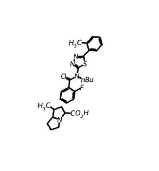 CC1CC(C(=O)O)N2CCCC12.CCCCN(C(=O)c1ccccc1F)c1nnc(-c2ccccc2C)s1